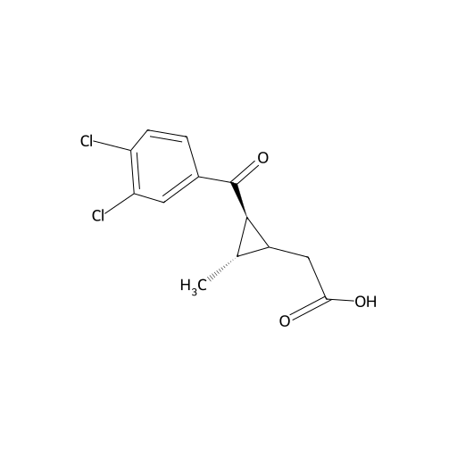 C[C@H]1C(CC(=O)O)[C@@H]1C(=O)c1ccc(Cl)c(Cl)c1